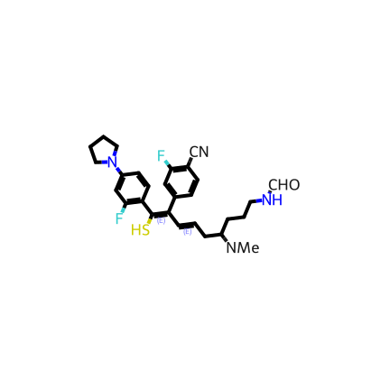 CNC(C/C=C/C(=C(\S)c1ccc(N2CCCC2)cc1F)c1ccc(C#N)c(F)c1)CCCNC=O